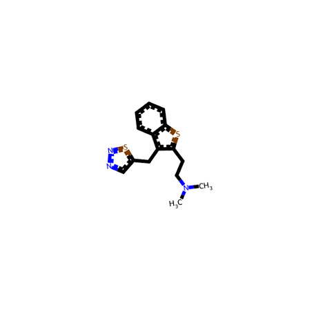 CN(C)CCc1sc2ccccc2c1Cc1cnns1